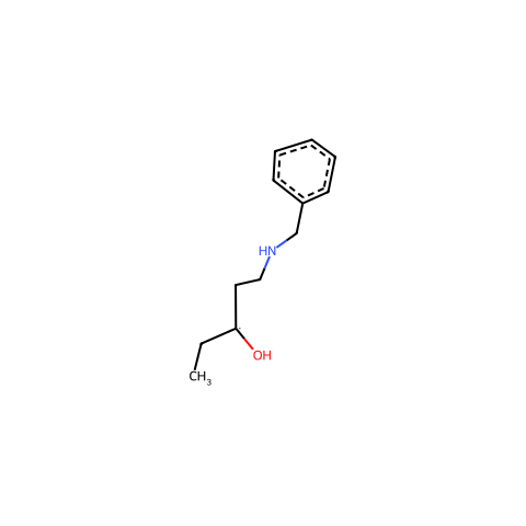 CC[C](O)CCNCc1ccccc1